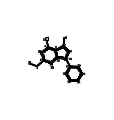 CCc1nc(Cl)c2c(C)cn(-c3ccccc3)c2n1